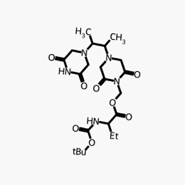 CCC(NC(=O)OC(C)(C)C)C(=O)OCN1C(=O)CN(C(C)C(C)N2CC(=O)NC(=O)C2)CC1=O